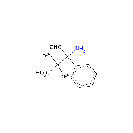 CCCC(CCC)(C(=O)O)C(N)(C=O)c1ccccc1